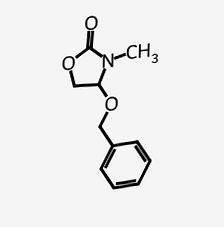 CN1C(=O)OCC1OCc1ccccc1